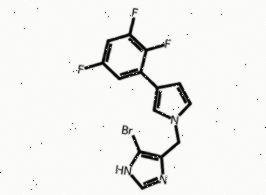 Fc1cc(F)c(F)c(-c2ccn(Cc3nc[nH]c3Br)c2)c1